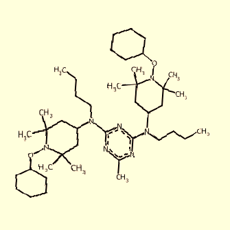 CCCCN(c1nc(C)nc(N(CCCC)C2CC(C)(C)N(OC3CCCCC3)C(C)(C)C2)n1)C1CC(C)(C)N(OC2CCCCC2)C(C)(C)C1